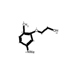 CNc1ccc(C)c(OCCO)c1